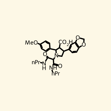 CCCNC(=O)C(C(=O)NCCC)N1CC(c2ccc3c(c2)OCO3)C(C(=O)O)C1c1ccc(OC)cc1